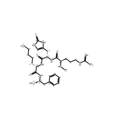 CC(C)N[C@H](CCCNC(=N)N)C(=O)N[C@@H](Cc1c[nH]c(=S)[nH]1)C(=O)N[C@@H](CCCCN)C(=O)N[C@@H](Cc1ccccc1)C(=O)O